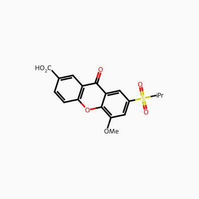 COc1cc(S(=O)(=O)C(C)C)cc2c(=O)c3cc(C(=O)O)ccc3oc12